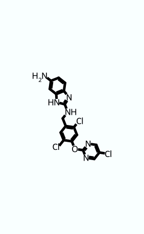 Nc1ccc2nc(NCc3cc(Cl)c(Oc4ncc(Cl)cn4)cc3Cl)[nH]c2c1